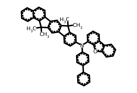 CC1(C)c2cc(N(c3ccc(-c4ccccc4)cc3)c3cccc4c3oc3ccccc34)ccc2-c2cc3c(cc21)-c1ccc2ccccc2c1C3(C)C